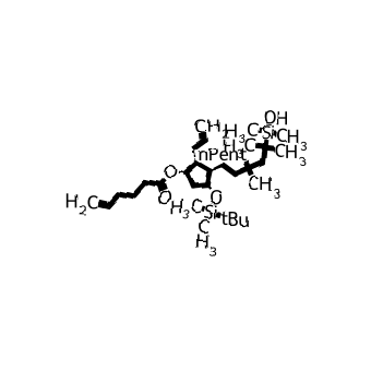 C=CCCCC(=O)O[C@H]1C[C@@H](O[Si](C)(C)C(C)(C)C)[C@H](CCC(C)(CCCCC)CC(C)(C)[Si](C)(C)O)[C@H]1CC=C